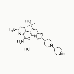 CC(C)(O)c1cc2nc(C3CCN(C4CCNCC4)CC3)cn2cc1-c1ccc(C(F)(F)F)nc1C(N)=O.Cl